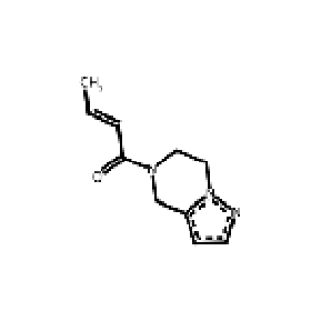 CC=CC(=O)N1CCn2nccc2C1